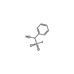 O=S(=O)(I)C(O)c1ccccc1